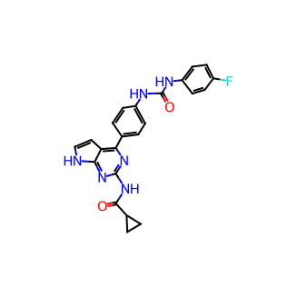 O=C(Nc1ccc(F)cc1)Nc1ccc(-c2nc(NC(=O)C3CC3)nc3[nH]ccc23)cc1